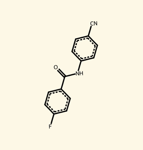 N#Cc1ccc(NC(=O)c2ccc(F)cc2)cc1